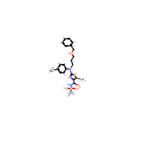 Cc1sc(N(CCCOCc2ccccc2)c2ccc(C#N)cc2)nc1C(=O)NS(C)(=O)=O